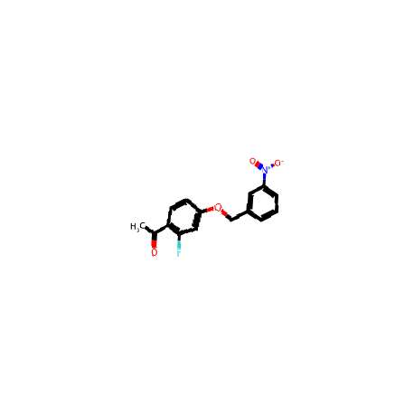 CC(=O)c1ccc(OCc2cccc([N+](=O)[O-])c2)cc1F